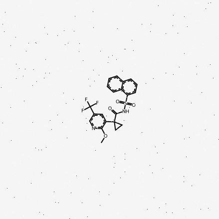 COc1ncc(C(F)(F)F)cc1C1(C(=O)NS(=O)(=O)c2cccc3ccccc23)CC1